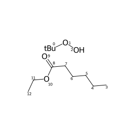 CC(C)(C)OO.CCCCCC(=O)OCC